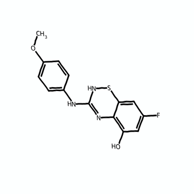 COc1ccc(NC2=Nc3c(O)cc(F)cc3SN2)cc1